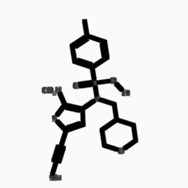 CCOP(=O)(c1ccc(C)cc1)N(CC1CCOCC1)c1cc(C#CC(C)(C)C)sc1C(=O)O